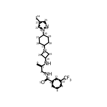 C=C(CNC(=O)c1cccc(C(F)(F)F)c1)NC1CN(C2CCC(n3cc(I)cn3)CC2)C1